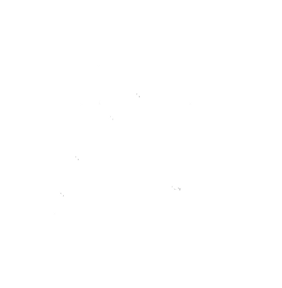 COc1ccccc1N1CCN(CCn2c(=O)c3c(C)scc3n(CCC(=O)O)c2=O)CC1.[NaH]